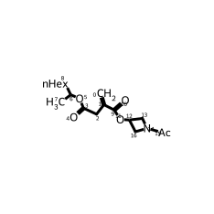 C=C(CC(=O)OC(C)CCCCCC)C(=O)OC1CN(C(C)=O)C1